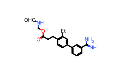 CCc1cc(-c2cccc(C(=N)N)c2)ccc1CCC(=O)OCNC=O